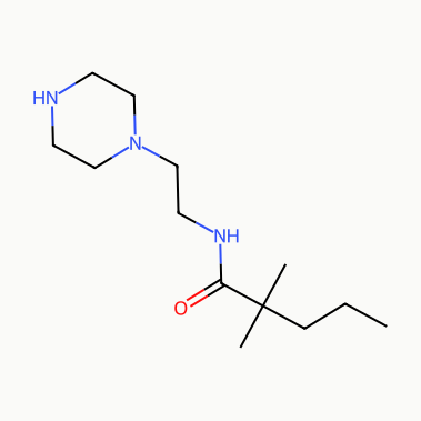 CCCC(C)(C)C(=O)NCCN1CCNCC1